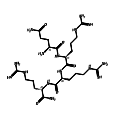 N=C(N)NCCC[C@H](NC(=O)[C@H](CCCNC(=N)N)NC(=O)[C@H](CCCNC(=N)N)NC(=O)[C@@H](N)CCC(N)=O)C(N)=O